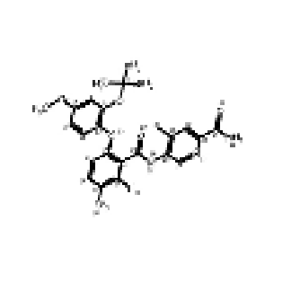 BC(B)(B)Oc1cc(OC(F)(F)F)ccc1Oc1ccc(C(F)(F)F)c(F)c1C(=O)Nc1cnc(C(N)=O)cc1C